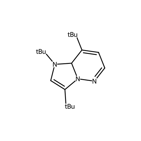 CC(C)(C)C1=CC=NN2C(C(C)(C)C)=CN(C(C)(C)C)C12